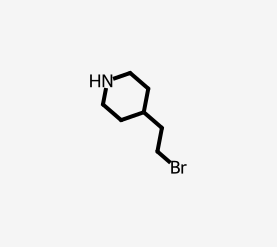 BrCCC1CCNCC1